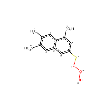 Cc1cc2c(S(=O)(=O)O)cc(SOOO)cc2cc1S(=O)(=O)O